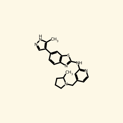 Cc1[nH]ncc1-c1ccc2nc(Nc3cc(CN4CCCC4C)ccn3)sc2c1